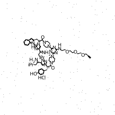 C#CCOCCOCCOCCNc1nc(N2CCN(C(=O)[C@H](Cc3ccc(O)cc3)n3cc([C@@H](N)CC(C)C)nn3)CC2)nc(N2CCN(C(=O)[C@H](Cc3cc4ccccc4[nH]3)n3cc([C@@H](N)CC(C)C)nn3)CC2)n1.Cl